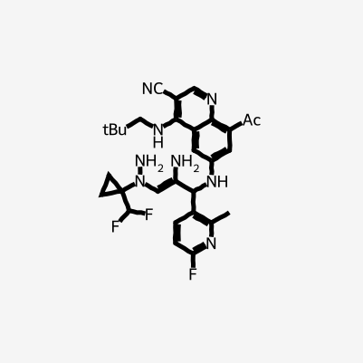 CC(=O)c1cc(NC(/C(N)=C/N(N)C2(C(F)F)CC2)c2ccc(F)nc2C)cc2c(NCC(C)(C)C)c(C#N)cnc12